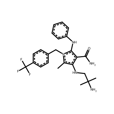 Cc1c(NCC(C)(C)N)c(C(N)=O)c(Nc2ccccc2)n1Cc1ccc(C(F)(F)F)cc1